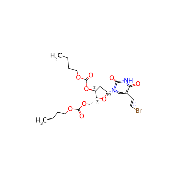 CCCCOC(=O)OC[C@H]1O[C@@H](n2cc(/C=C/Br)c(=O)[nH]c2=O)C[C@@H]1OC(=O)OCCCC